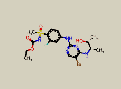 CCOC(=O)N=S(C)(=O)c1ccc(Nc2ncc(Br)c(N[C@H](C)[C@@H](C)O)n2)cc1F